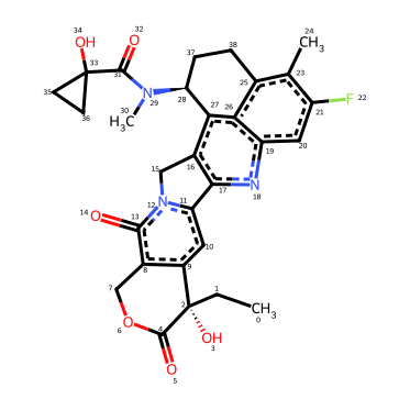 CC[C@@]1(O)C(=O)OCc2c1cc1n(c2=O)Cc2c-1nc1cc(F)c(C)c3c1c2[C@@H](N(C)C(=O)C1(O)CC1)CC3